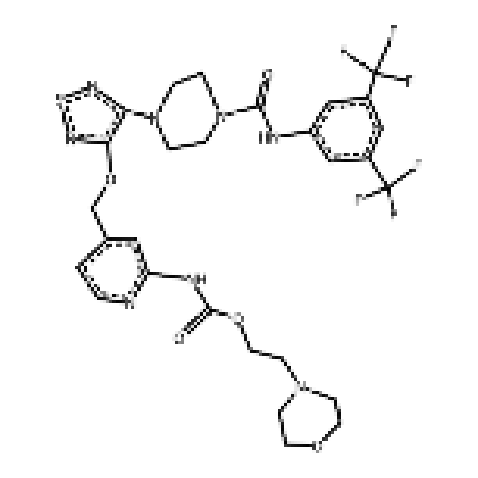 O=C(Nc1cc(COc2nsnc2N2CCN(C(=O)Nc3cc(C(F)(F)F)cc(C(F)(F)F)c3)CC2)ccn1)OCCN1CCOCC1